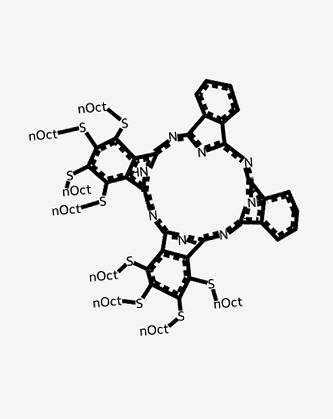 CCCCCCCCSc1c(SCCCCCCCC)c(SCCCCCCCC)c2c(c1SCCCCCCCC)-c1nc-2nc2[nH]c(nc3nc(nc4[nH]c(n1)c1ccccc41)-c1ccccc1-3)c1c(SCCCCCCCC)c(SCCCCCCCC)c(SCCCCCCCC)c(SCCCCCCCC)c21